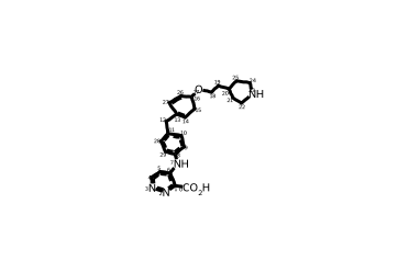 O=C(O)c1nnccc1Nc1ccc(CC2=CCC(OCCC3CCNCC3)C=C2)cc1